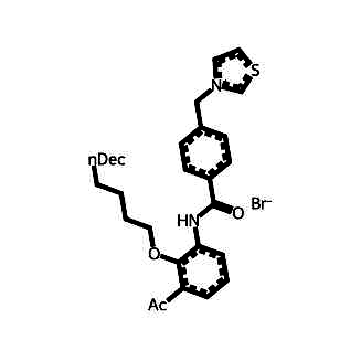 CCCCCCCCCCCCCCOc1c(NC(=O)c2ccc(C[n+]3ccsc3)cc2)cccc1C(C)=O.[Br-]